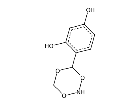 Oc1ccc(C2OCONO2)c(O)c1